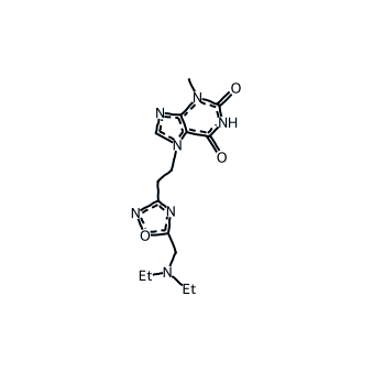 CCN(CC)Cc1nc(CCn2cnc3c2c(=O)[nH]c(=O)n3C)no1